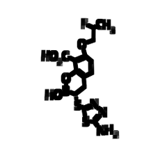 CC(F)COc1ccc2c(c1C(=O)O)OB(O)[C@@H](Sc1nnc(N)s1)C2